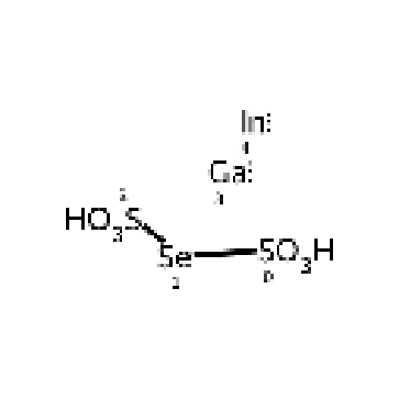 O=S(=O)(O)[Se]S(=O)(=O)O.[Ga].[In]